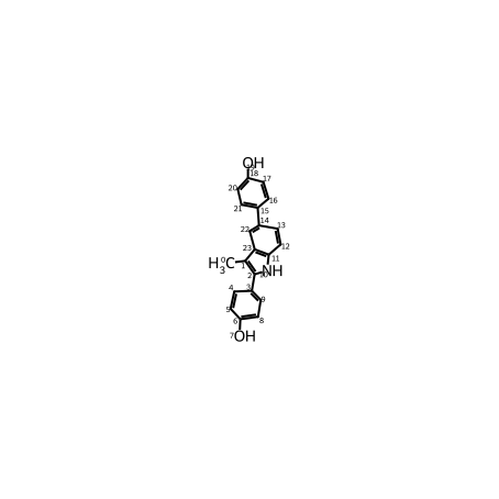 Cc1c(-c2ccc(O)cc2)[nH]c2ccc(-c3ccc(O)cc3)cc12